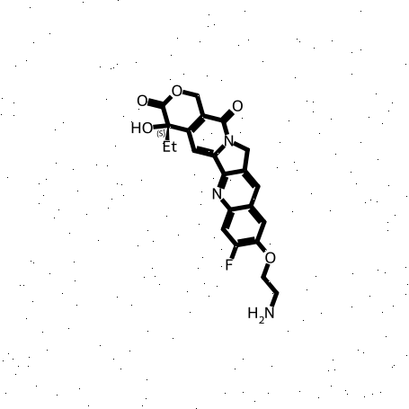 CC[C@@]1(O)C(=O)OCc2c1cc1n(c2=O)Cc2cc3cc(OCCN)c(F)cc3nc2-1